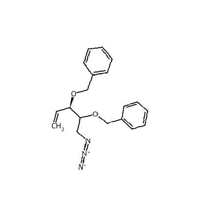 C=C[C@@H](OCc1ccccc1)C(CN=[N+]=[N-])OCc1ccccc1